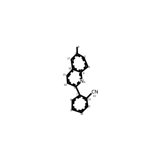 Cc1ccc2nc(-c3ccccc3C#N)ccc2c1